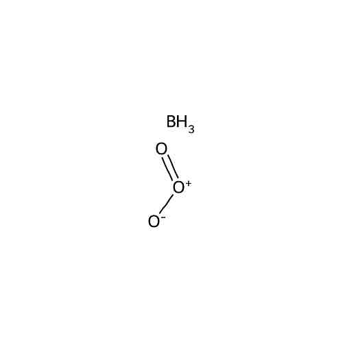 B.O=[O+][O-]